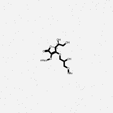 CCCCCCOC1=C(OCC(O)COCCCC)[C@@H]([C@@H](O)CO)OC1=O